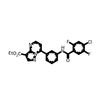 CCOC(=O)c1cnn2c(-c3cccc(NC(=O)c4cc(F)c(Cl)cc4F)c3)ccnc12